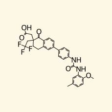 COc1ccc(C)cc1NC(=O)Nc1ccc(-c2ccc3c(c2)CCC(CC(=O)O)(CC(F)(F)F)C3=O)cc1